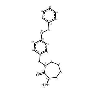 N[C@@H]1CCCCN(Cc2ccc(OCc3ccccc3)cc2)C1=O